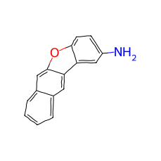 Nc1ccc2oc3cc4ccccc4cc3c2c1